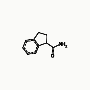 NC(=O)C1CCc2ccccc21